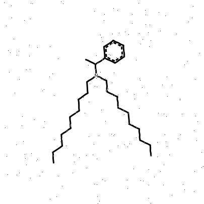 CCCCCCCCCCN(CCCCCCCCCC)C(C)c1ccccc1